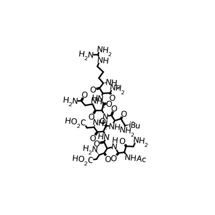 CC[C@H](C)C(N)C(=O)C(NC(=O)C(NC(=O)C(NC(=O)C(NC(C)=O)C(=O)CN)C(=O)[C@@H](N)CC(=O)O)C(=O)[C@@H](N)CC(=O)O)C(=O)NC(C(=O)NC(C(N)=O)C(=O)[C@@H](N)CCCNC(N)N)C(=O)[C@@H](N)CC(N)=O